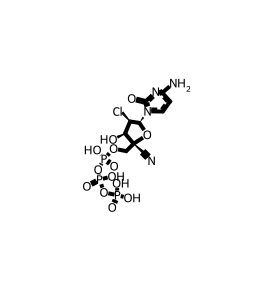 N#C[C@]1(COP(=O)(O)OP(=O)(O)OP(=O)(O)O)O[C@@H](n2ccc(N)nc2=O)[C@H](Cl)[C@@H]1O